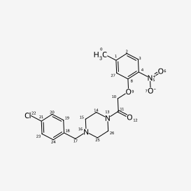 Cc1ccc([N+](=O)[O-])c(OCC(=O)N2CCN(Cc3ccc(Cl)cc3)CC2)c1